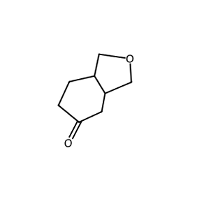 O=C1CCC2COCC2C1